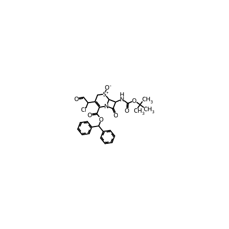 CC(C)(C)OC(=O)NC1C(=O)N2C(C(=O)OC(c3ccccc3)c3ccccc3)=C(C(Cl)C=O)C[S+]([O-])C12